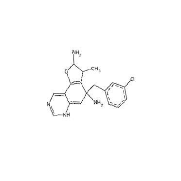 CC1C2=C(OC1N)C1=CN=CNC1=CC2(N)Cc1cccc(Cl)c1